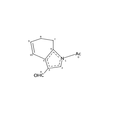 CC(=O)n1cc(C=O)c2c1CCC=C2